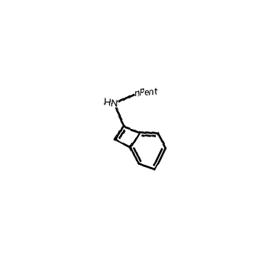 [CH2]CCCCNC1=Cc2ccccc21